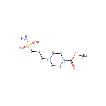 CC(C)(C)OC(=O)N1CCN(CCCS(N)(=O)=O)CC1